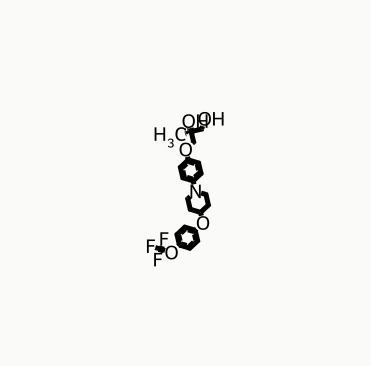 C[C@@](O)(CO)COc1ccc(N2CCC(Oc3ccc(OC(F)(F)F)cc3)CC2)cc1